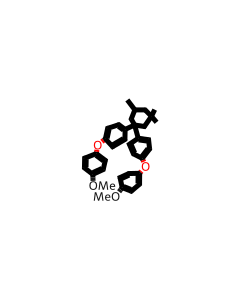 COc1ccc(Oc2ccc(C3(c4ccc(Oc5ccc(OC)cc5)cc4)CC(C)CC(C)(C)C3)cc2)cc1